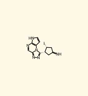 N=C1C[C@@H](I)[C@@H](c2nnc3cnc4[nH]ccc4n23)C1